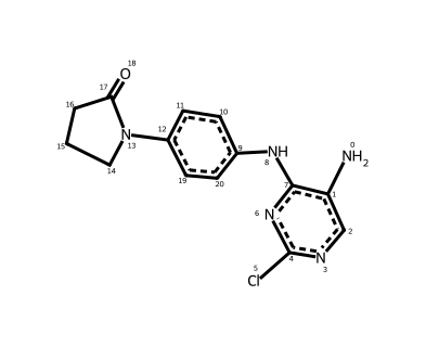 Nc1cnc(Cl)nc1Nc1ccc(N2CCCC2=O)cc1